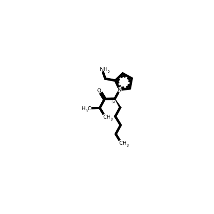 CCCCC[C@@H](C(=O)C(C)C)n1cccc1CN